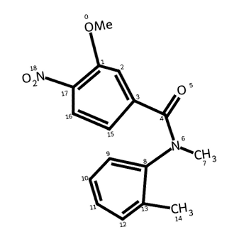 COc1cc(C(=O)N(C)c2ccccc2C)ccc1[N+](=O)[O-]